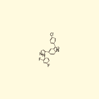 Fc1ccc(-n2nccc2-c2ccc3noc(-c4ccc(Cl)cc4)c3c2)c(F)c1